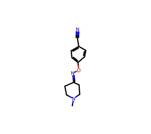 CN1CCC(=NOc2ccc(C#N)cc2)CC1